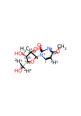 [2H]c1cn([C@@H]2O[C@H](C([2H])([2H])O)[C@@H](O)[C@@]2(C)O)c(=O)nc1OC